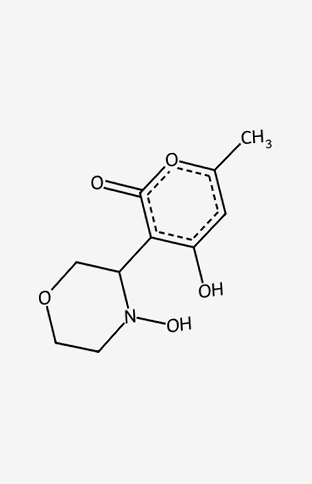 Cc1cc(O)c(C2COCCN2O)c(=O)o1